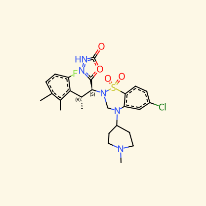 Cc1ccc(F)c([C@@H](C)[C@@H](c2n[nH]c(=O)o2)N2CN(C3CCN(C)CC3)c3cc(Cl)ccc3S2(=O)=O)c1C